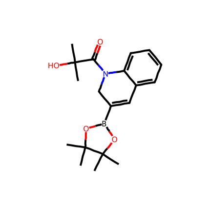 CC(C)(O)C(=O)N1CC(B2OC(C)(C)C(C)(C)O2)=Cc2ccccc21